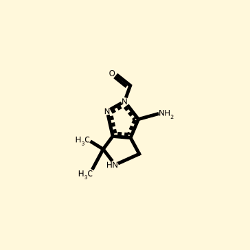 CC1(C)NCc2c1nn(C=O)c2N